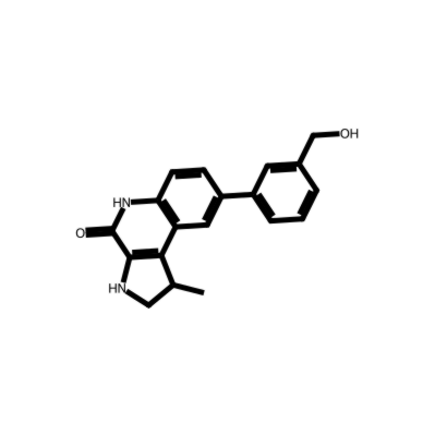 CC1CNc2c1c1cc(-c3cccc(CO)c3)ccc1[nH]c2=O